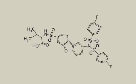 CC(C)[C@H](NS(=O)(=O)c1ccc2c(c1)oc1ccc(N(S(=O)(=O)c3ccc(F)cc3)S(=O)(=O)c3ccc(F)cc3)cc12)C(=O)O